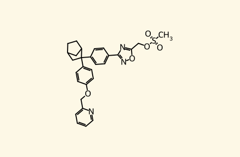 CS(=O)(=O)OCc1nc(-c2ccc(C3(c4ccc(OCc5ccccn5)cc4)CC4CCC3C4)cc2)no1